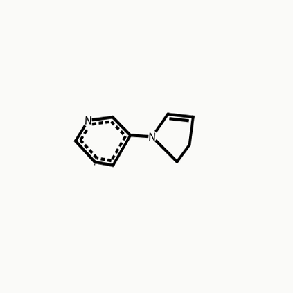 [c]1cncc(N2C=CCC2)c1